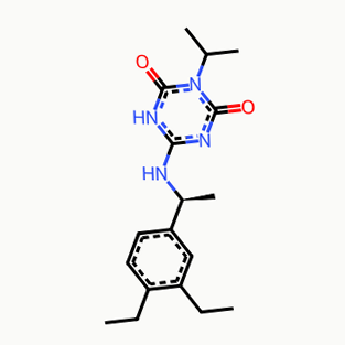 CCc1ccc([C@H](C)Nc2nc(=O)n(C(C)C)c(=O)[nH]2)cc1CC